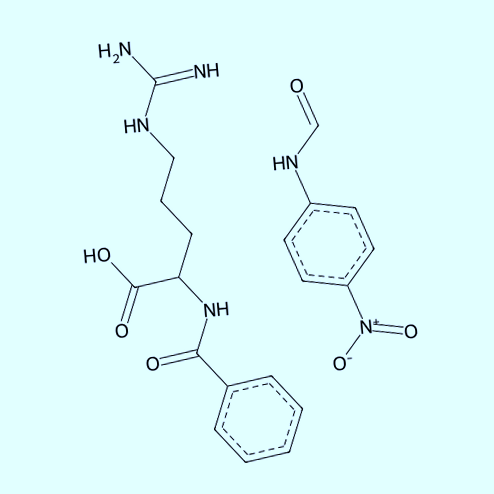 N=C(N)NCCCC(NC(=O)c1ccccc1)C(=O)O.O=CNc1ccc([N+](=O)[O-])cc1